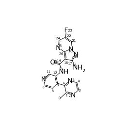 Cc1nccnc1-c1ccncc1NC(=O)c1c(N)nn2cc(F)cnc12